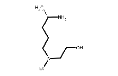 CCN(CCO)CCC[C@H](C)N